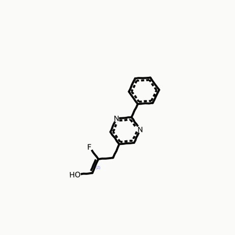 O/C=C(\F)Cc1cnc(-c2ccccc2)nc1